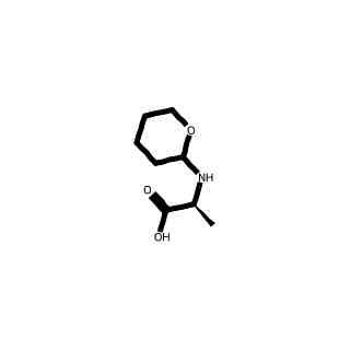 C[C@H](NC1CCCCO1)C(=O)O